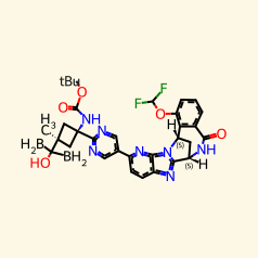 BC(B)(O)[C@]1(C)C[C@@](NC(=O)OC(C)(C)C)(c2ncc(-c3ccc4nc5n(c4n3)[C@H]3C[C@@H]5NC(=O)c4cccc(OC(F)F)c43)cn2)C1